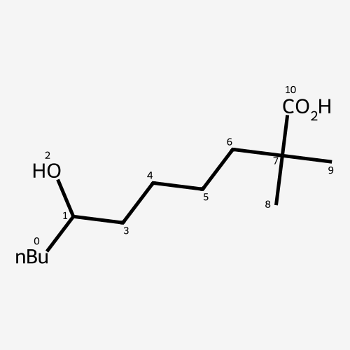 CCCCC(O)CCCCC(C)(C)C(=O)O